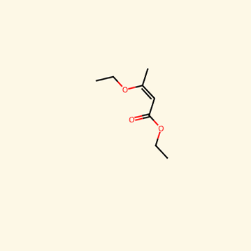 CCOC(=O)C=C(C)OCC